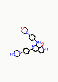 O=c1[nH]ccc2cc(-c3ccc(N4CCNCC4)cc3)nc(Nc3ccc(N4CCOCC4)cc3)c12